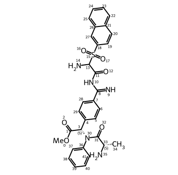 COC(=O)[C@H](c1ccc(C(=N)NC(=O)C(N)S(=O)(=O)c2ccc3ccccc3c2)cc1)N(C(=O)[C@H](C)N)c1ccccc1